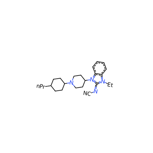 CCCC1CCC(N2CCC(n3c(=NC#N)n(CC)c4ccccc43)CC2)CC1